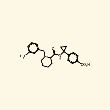 Cc1cccc(CN2CCCCC2C(=O)NC2(c3ccc(C(=O)O)cc3)CC2)c1